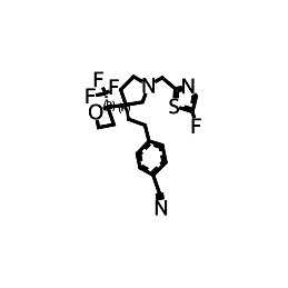 N#Cc1ccc(CC[C@@]2([C@@]3(C(F)(F)F)CCO3)CCN(Cc3ncc(F)s3)C2)cc1